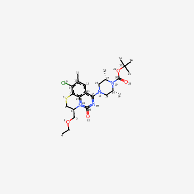 CCOC[C@H]1CSc2c(Cl)c(C)cc3c(N4C[C@@H](C)N(C(=O)OC(C)(C)C)[C@@H](C)C4)nc(=O)n1c23